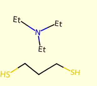 CCN(CC)CC.SCCCS